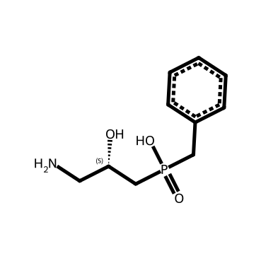 NC[C@H](O)CP(=O)(O)Cc1ccccc1